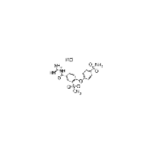 CS(=O)(=O)c1cc(C(=O)NC(=N)N)ccc1Oc1ccc(S(N)(=O)=O)cc1.Cl